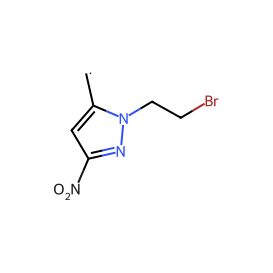 [CH2]c1cc([N+](=O)[O-])nn1CCBr